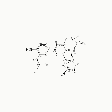 Nc1ncc(-c2cc(N3C[C@@H]4C[C@H]3CO4)nc(CC3CC3(F)F)n2)cc1OC(F)F